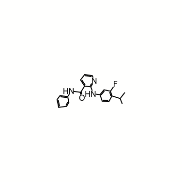 CC(C)c1ccc(Nc2ncccc2C(=O)Nc2ccccc2)cc1F